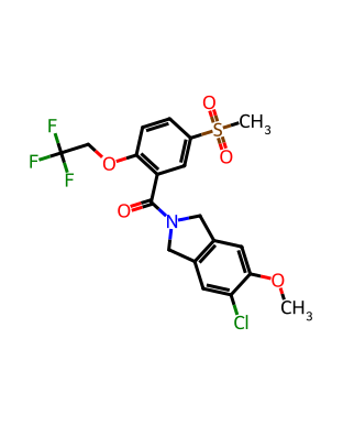 COc1cc2c(cc1Cl)CN(C(=O)c1cc(S(C)(=O)=O)ccc1OCC(F)(F)F)C2